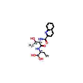 CC(C)C[C@H](NC(=O)[C@@H](NC(=O)c1ccc2ccccc2n1)[C@@H](C)O)B(O)O